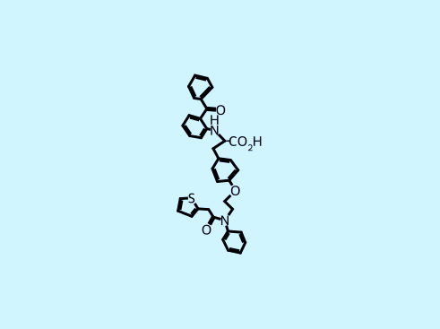 O=C(c1ccccc1)c1ccccc1N[C@@H](Cc1ccc(OCCN(C(=O)Cc2cccs2)c2ccccc2)cc1)C(=O)O